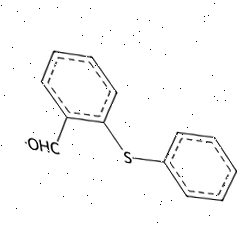 O=[C]c1ccccc1Sc1ccccc1